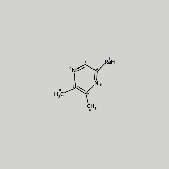 Cc1nc[c]([RaH])nc1C